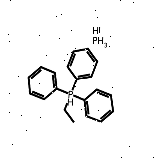 CC[PH](c1ccccc1)(c1ccccc1)c1ccccc1.I.P